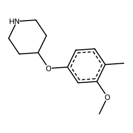 COc1cc(OC2CCNCC2)ccc1C